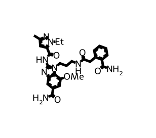 CCn1nc(C)cc1C(=O)Nc1nc2cc(C(N)=O)cc(OC)c2n1CCCNC(=O)Cc1ccccc1C(N)=O